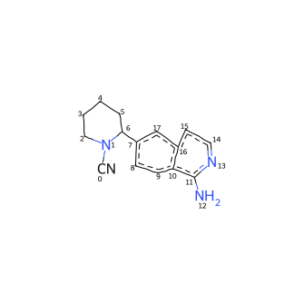 N#CN1CCCCC1c1ccc2c(N)nccc2c1